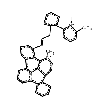 Cc1cccc(-c2ccccc2C/C=C/c2cccc3c4cccc5c6ccccc6c6cc[n+](C)c(c23)c6c54)[n+]1I